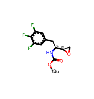 CC(C)(C)OC(=O)N[C@@H](Cc1cc(F)c(F)c(F)c1)[C@H]1CO1